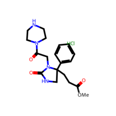 COC(=O)CCC1(c2ccccc2)CNC(=O)N1CC(=O)N1CCNCC1.Cl